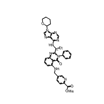 CC[C@H](Nc1ncnc2c1ncn2C1CCCCO1)c1nc2cccc(NCc3ccc(C(=O)OC)nc3)c2c(=O)n1-c1ccccc1